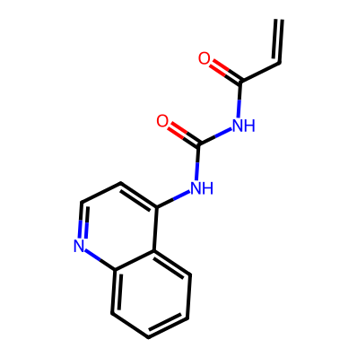 C=CC(=O)NC(=O)Nc1ccnc2ccccc12